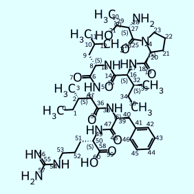 CC[C@H](C)[C@H](NC(=O)[C@H](CC(C)C)NC(=O)[C@@H](NC(=O)[C@@H]1CCCN1C(=O)[C@@H](N)[C@@H](C)O)[C@@H](C)CC)C(=O)N[C@@H](Cc1ccccc1)C(=O)N[C@@H](CCCNC(=N)N)C(=O)O